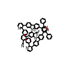 N#Cc1cccc(-c2cc(-n3c4cc(-c5cccnc5-c5ccccc5)ccc4c4ccc(-c5cccnc5-c5ccccc5)cc43)c(C(F)(F)F)c(-n3c4cc(-c5cccnc5-c5ccccc5)ccc4c4ccc(-c5cccnc5-c5ccccc5)cc43)c2)c1